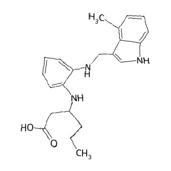 CCCC(CC(=O)O)Nc1ccccc1NCc1c[nH]c2cccc(C)c12